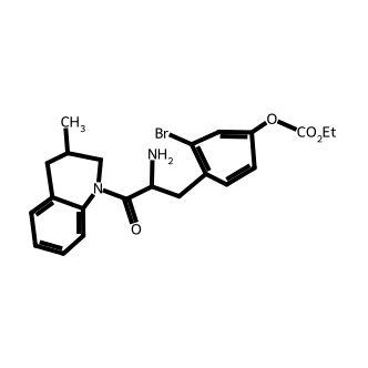 CCOC(=O)Oc1ccc(CC(N)C(=O)N2CC(C)Cc3ccccc32)c(Br)c1